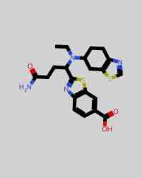 CCN(C1CCc2ncsc2C1)C(CCC(N)=O)c1nc2ccc(C(=O)O)cc2s1